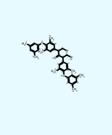 Cc1cc(C)cc(Oc2c(C)cc(C(CBr)C(=O)C(CBr)c3cc(C)c(Oc4cc(C)cc(C)c4)c(C)c3)cc2C)c1